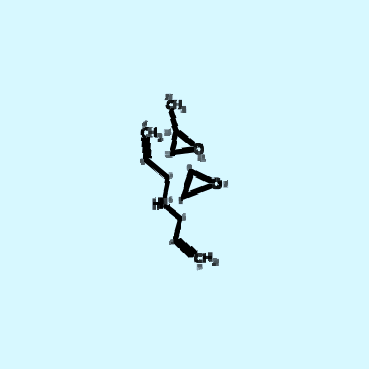 C1CO1.C=CCNCC=C.CC1CO1